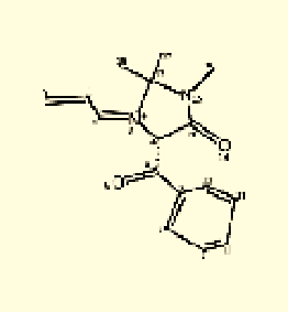 C=C/C=[N+]1/[C@@H](C(=O)c2ccccc2)C(=O)N(C)C1(C)C